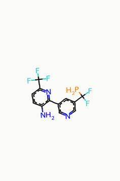 Nc1ccc(C(F)(F)F)nc1-c1cncc(C(F)(F)P)c1